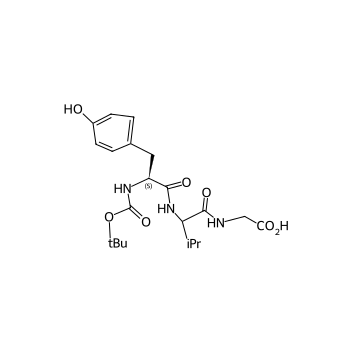 CC(C)C(NC(=O)[C@H](Cc1ccc(O)cc1)NC(=O)OC(C)(C)C)C(=O)NCC(=O)O